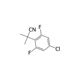 CC(C)(C#N)c1c(F)cc(Cl)cc1F